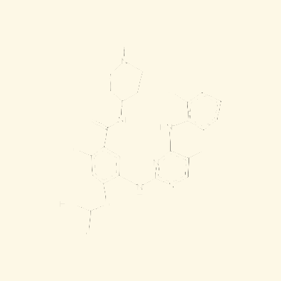 Cc1ccccc1Nc1nc(Nc2cc(C(=O)NC3CCN(C)CC3)c(C)cc2OC(C)C)ncc1Cl